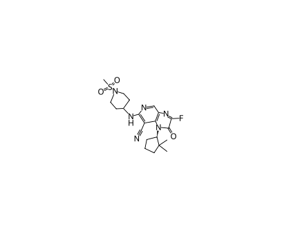 CC1(C)CCC[C@H]1n1c(=O)c(F)nc2cnc(NC3CCN(S(C)(=O)=O)CC3)c(C#N)c21